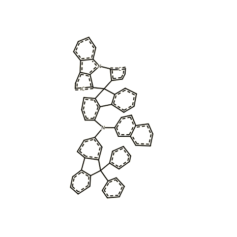 c1ccc(C2(c3ccccc3)c3ccccc3-c3ccc(N(c4ccc5ccccc5c4)c4cccc5c4-c4ccccc4C54c5ccccc5-n5c6ccccc6c6cccc4c65)cc32)cc1